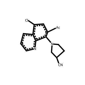 CC(=O)c1cc(Cl)c2cccnc2c1N1CCC(C#N)C1